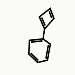 C1=CC(c2ccccc2)=C1